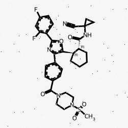 CS(=O)(=O)N1CCN(C(=O)c2ccc(-c3nc(-c4ccc(F)cc4F)oc3[C@@H]3CCCC[C@H]3C(=O)NC3(C#N)CC3)cc2)CC1